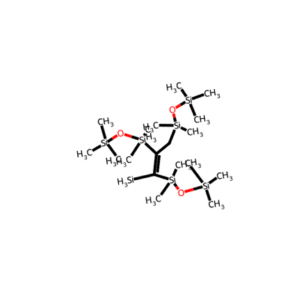 C[Si](C)(C)O[Si](C)(C)CC(=C([SiH3])[Si](C)(C)O[Si](C)(C)C)[Si](C)(C)O[Si](C)(C)C